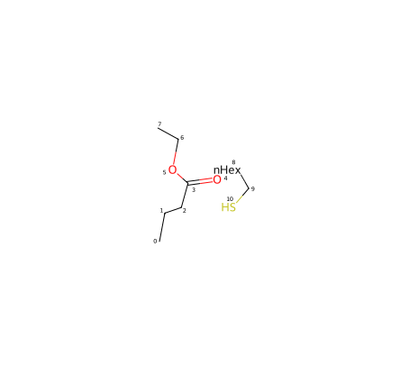 CCCC(=O)OCC.CCCCCCCS